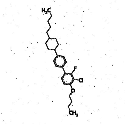 CCCCCC1CCC(c2ccc(-c3ccc(OCCCC)c(Cl)c3F)cc2)CC1